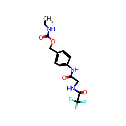 CCNC(=O)OCc1ccc(NC(=O)CNC(=O)C(F)(F)F)cc1